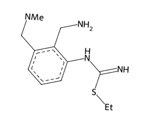 CCSC(=N)Nc1cccc(CNC)c1CN